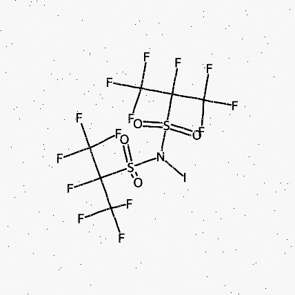 O=S(=O)(N(I)S(=O)(=O)C(F)(C(F)(F)F)C(F)(F)F)C(F)(C(F)(F)F)C(F)(F)F